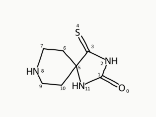 O=C1NC(=S)C2(CCNCC2)N1